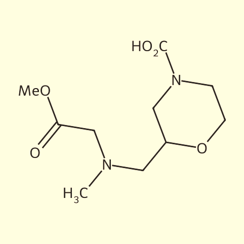 COC(=O)CN(C)CC1CN(C(=O)O)CCO1